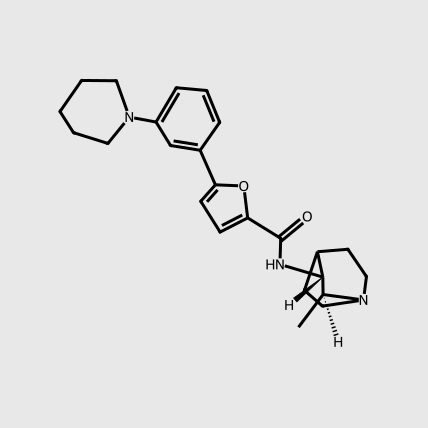 C[C@H]1[C@H](NC(=O)c2ccc(-c3cccc(N4CCCCC4)c3)o2)C2CCN1CC2